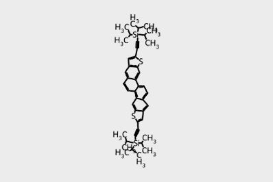 CC(C)[Si](C#Cc1cc2cc3ccc4c5cc6sc(C#C[Si](C(C)C)(C(C)C)C(C)C)cc6cc5ccc4c3cc2s1)(C(C)C)C(C)C